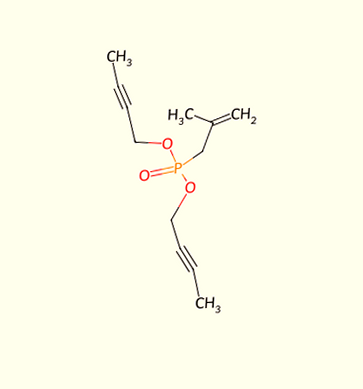 C=C(C)CP(=O)(OCC#CC)OCC#CC